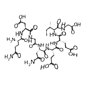 CC[C@H](C)[C@H](NC(=O)[C@H](CCC(=O)O)NC(=O)[C@H](CCC(=O)O)NC(=O)[C@H](CC(N)=O)NC(=O)CNC(=O)[C@H](CC(=O)O)NC(=O)[C@@H](N)CCC(N)=O)C(=O)NCC(=O)O